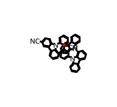 N#Cc1ccc2c(c1)c1ccccc1n2-c1ccccc1-c1cccc(-n2c3ccccc3c3cccc(-n4c5ccccc5c5ccccc54)c32)c1C#N